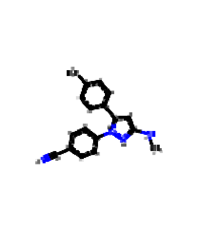 CNc1cc(-c2ccc(C)cc2)n(-c2ccc(C#N)cc2)n1